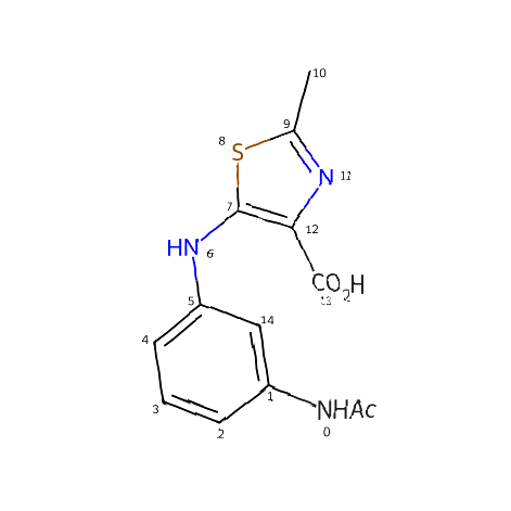 CC(=O)Nc1cccc(Nc2sc(C)nc2C(=O)O)c1